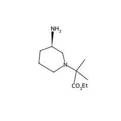 CCOC(=O)C(C)(C)N1CCC[C@@H](N)C1